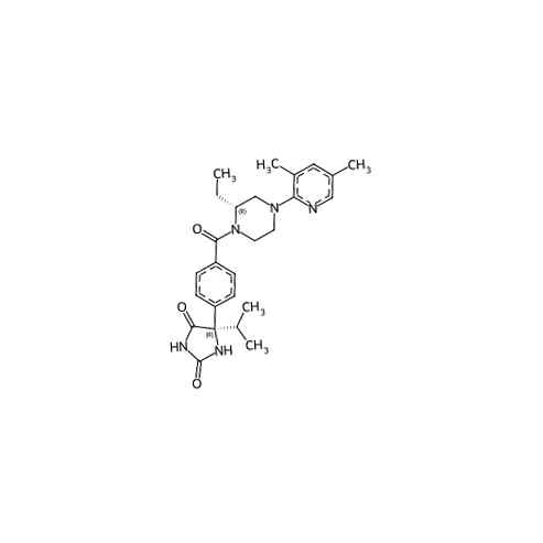 CC[C@@H]1CN(c2ncc(C)cc2C)CCN1C(=O)c1ccc([C@@]2(C(C)C)NC(=O)NC2=O)cc1